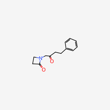 O=C(CCc1ccccc1)CN1CCC1=O